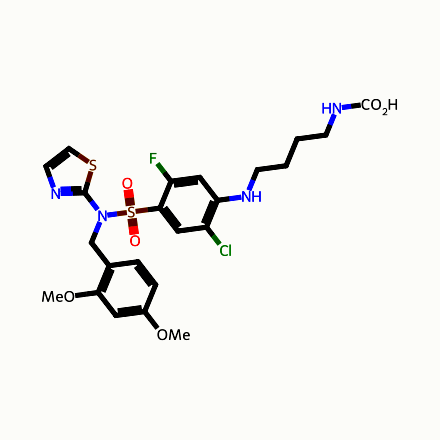 COc1ccc(CN(c2nccs2)S(=O)(=O)c2cc(Cl)c(NCCCCNC(=O)O)cc2F)c(OC)c1